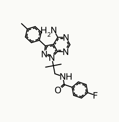 Cc1ccc(-c2nn(C(C)(C)CNC(=O)c3ccc(F)cc3)c3ncnc(N)c23)cc1